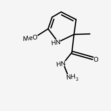 COC1=CC=CC(C)(C(=O)NN)N1